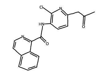 CC(=O)Cc1ccc(NC(=O)c2nccc3ccccc23)c(Cl)n1